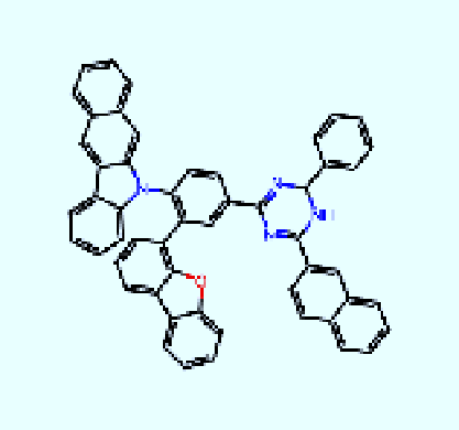 c1ccc(C2N=C(c3ccc(-n4c5ccccc5c5cc6ccccc6cc54)c(-c4cccc5c4oc4ccccc45)c3)N=C(c3ccc4ccccc4c3)N2)cc1